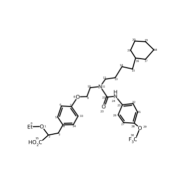 CCOC(Cc1ccc(OCCN(CCCCC2CCCCC2)C(=O)Nc2ccc(OC(F)(F)F)cc2)cc1)C(=O)O